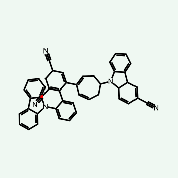 N#CC1=CC2c3ccccc3N(C3CC=CC(C4=CC(C#N)CC(C#N)=C4c4ccccc4-n4c5ccccc5c5ccccc54)=CC3)C2C=C1